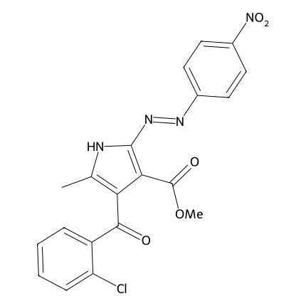 COC(=O)c1c(N=Nc2ccc([N+](=O)[O-])cc2)[nH]c(C)c1C(=O)c1ccccc1Cl